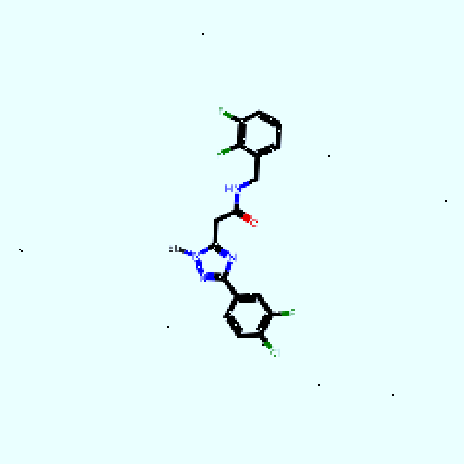 CCn1nc(-c2ccc(Cl)c(F)c2)nc1CC(=O)NCc1cccc(F)c1F